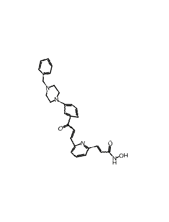 O=C(C=Cc1cccc(C=CC(=O)c2cccc(N3CCN(Cc4ccccc4)CC3)c2)n1)NO